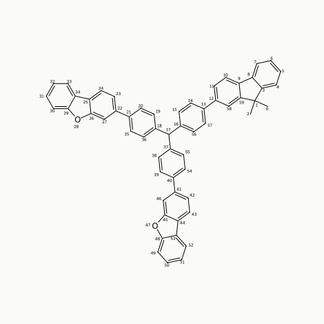 CC1(C)c2ccccc2-c2ccc(-c3ccc(C(c4ccc(-c5ccc6c(c5)oc5ccccc56)cc4)c4ccc(-c5ccc6c(c5)oc5ccccc56)cc4)cc3)cc21